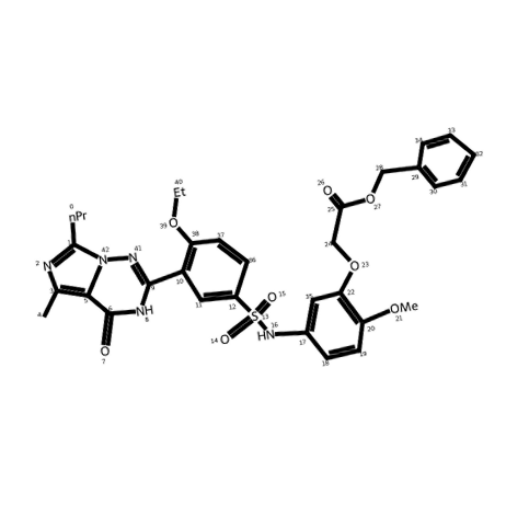 CCCc1nc(C)c2c(=O)[nH]c(-c3cc(S(=O)(=O)Nc4ccc(OC)c(OCC(=O)OCc5ccccc5)c4)ccc3OCC)nn12